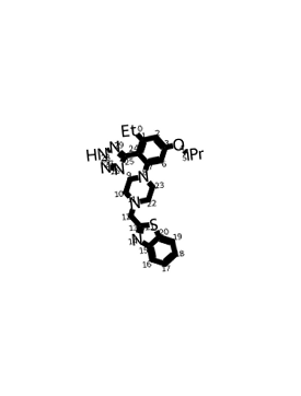 CCc1cc(OC(C)C)cc(N2CCN(Cc3nc4ccccc4s3)CC2)c1-c1nn[nH]n1